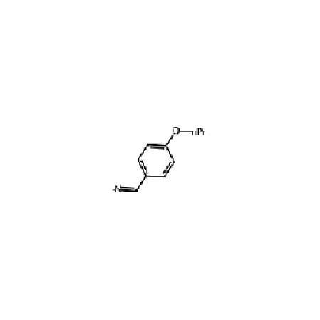 CCCOc1ccc(C=[N])cc1